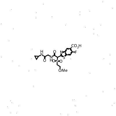 COCCS(=O)(=O)C(C(=O)NCC(=O)NC1CC1)c1nc2cc(C(=O)O)c(F)cc2s1